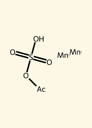 CC(=O)OS(=O)(=O)O.[Mn].[Mn]